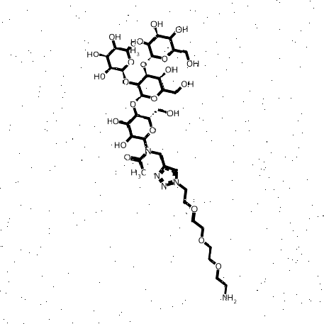 CC(=O)N(Cc1cn(CCOCCOCCOCCN)nn1)C1O[C@@H](CO)C(O[C@@H]2OC(CO)[C@H](O)[C@H](O[C@H]3OC(CO)C(O)[C@H](O)C3O)C2O[C@@H]2OC(C)C(O)[C@H](O)C2O)C(O)C1O